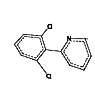 Clc1cccc(Cl)c1-c1ccc[c]n1